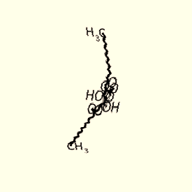 CCCCCCCCCCCCCC(=O)OC[C@H](O)[C@H]1OC(=O)C(OC(=O)CCCCCCCCCCCCC)=C1O